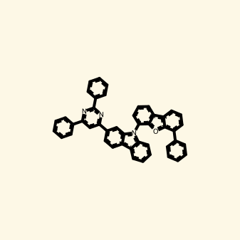 c1ccc(-c2cc(-c3ccc4c5ccccc5n(-c5cccc6c5oc5c(-c7ccccc7)cccc56)c4c3)nc(-c3ccccc3)n2)cc1